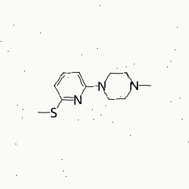 CSc1cccc(N2CCN(C)CC2)n1